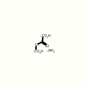 N.O=C(O)OC(=O)C(=O)O